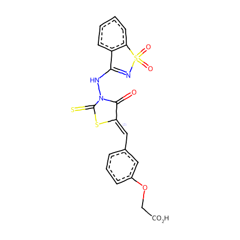 O=C(O)COc1cccc(/C=C2\SC(=S)N(NC3=NS(=O)(=O)c4ccccc43)C2=O)c1